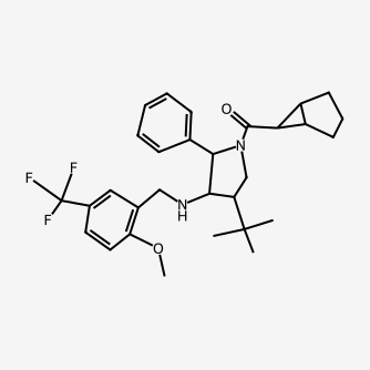 COc1ccc(C(F)(F)F)cc1CNC1C(c2ccccc2)N(C(=O)C2C3CCCC32)CC1C(C)(C)C